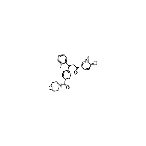 Cc1ccccc1C(CC(=O)c1ccc(=O)n(C)c1)c1ccc(C(=O)N2CCOCC2)cc1